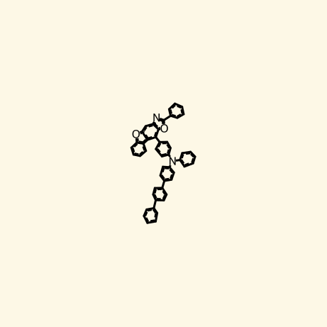 c1ccc(-c2ccc(-c3ccc(N(c4ccccc4)c4ccc(-c5c6oc(-c7ccccc7)nc6cc6oc7ccccc7c56)cc4)cc3)cc2)cc1